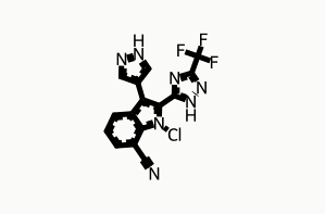 N#Cc1cccc2c(-c3cn[nH]c3)c(-c3nc(C(F)(F)F)n[nH]3)n(Cl)c12